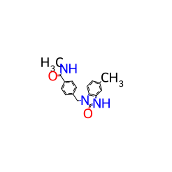 CNC(=O)c1ccc(Cn2c(=O)[nH]c3cc(C)ccc32)cc1